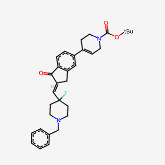 CC(C)(C)OC(=O)N1CC=C(c2ccc3c(c2)C/C(=C\C2(F)CCN(Cc4ccccc4)CC2)C3=O)CC1